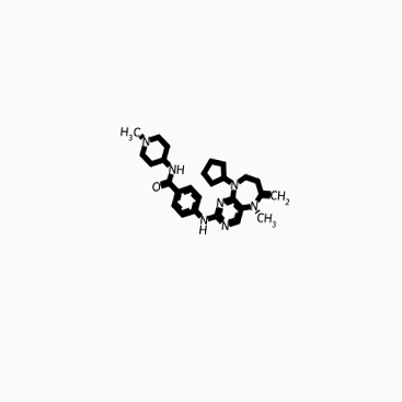 C=C1CCN(C2CCCC2)c2nc(Nc3ccc(C(=O)NC4CCN(C)CC4)cc3)ncc2N1C